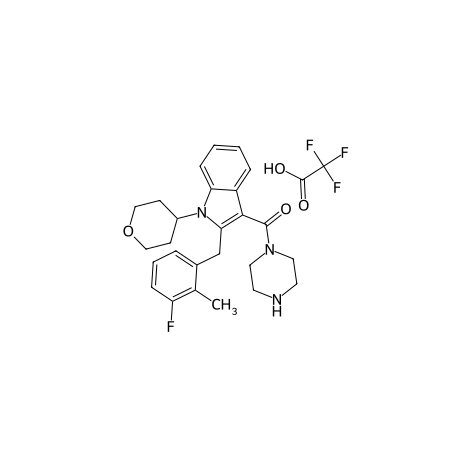 Cc1c(F)cccc1Cc1c(C(=O)N2CCNCC2)c2ccccc2n1C1CCOCC1.O=C(O)C(F)(F)F